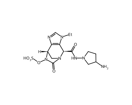 CCn1cnc2c1[C@@H](C(=O)NN1CCC(N)C1)N1C[C@@H]2N(OS(=O)(=O)O)C1=O